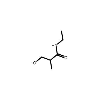 CCNC(=O)C(C)C[O]